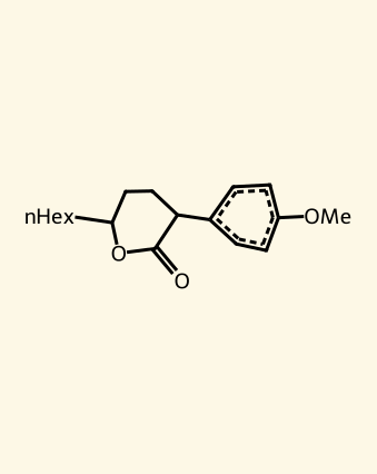 CCCCCCC1CCC(c2ccc(OC)cc2)C(=O)O1